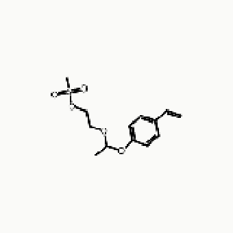 C=Cc1ccc(OC(C)OCCOS(C)(=O)=O)cc1